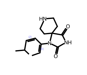 C/C=C(\C=C/C(C)C)N1C(=O)NC(=O)C12CCNCC2